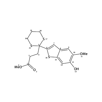 COC(=O)CCC1(c2cc3cc(OC)c(O)cc3s2)SCCCS1